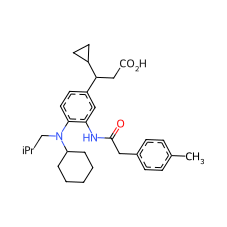 Cc1ccc(CC(=O)Nc2cc(C(CC(=O)O)C3CC3)ccc2N(CC(C)C)C2CCCCC2)cc1